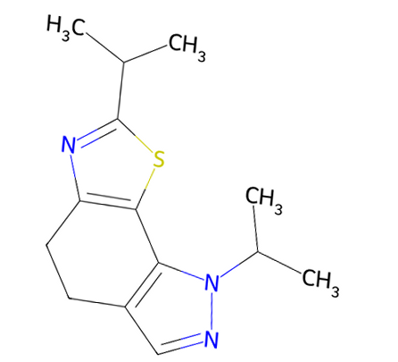 CC(C)c1nc2c(s1)-c1c(cnn1C(C)C)CC2